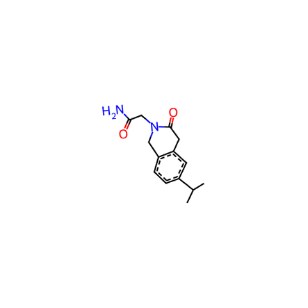 CC(C)c1ccc2c(c1)CC(=O)N(CC(N)=O)C2